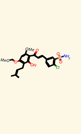 COCOc1cc(OC)c(C(=O)C=Cc2ccc(Cl)c(S(N)(=O)=O)c2)c(O)c1CC=C(C)C